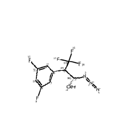 [N-]=[N+]=N[C@H](O)[C@@H](c1cc(F)cc(F)c1)C(F)(F)F